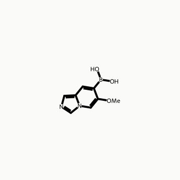 COc1cn2cncc2cc1B(O)O